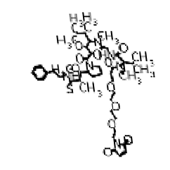 CCC(C)C(C(CC(=O)N1CCCC1C(OC)C(C)C(=S)NCCc1ccccc1)OC)N(C)C(=O)CNC(=O)C(C(C)C)N(C)C(=O)CCOCCOCCOCCN1C(=O)C=CC1=O